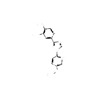 Nc1ccc(-c2ncn(-c3ccc(OC(F)(F)F)cn3)n2)cc1C(F)(F)F